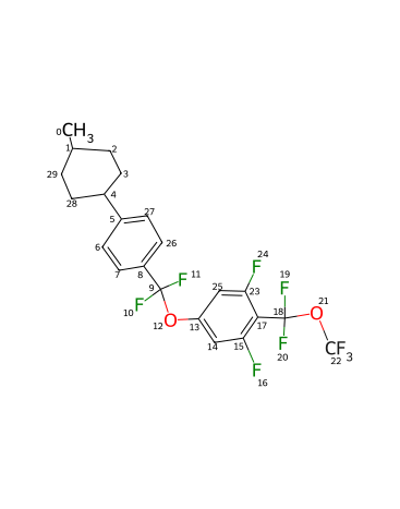 CC1CCC(c2ccc(C(F)(F)Oc3cc(F)c(C(F)(F)OC(F)(F)F)c(F)c3)cc2)CC1